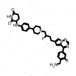 NCc1ccc(-c2ncnn3cc(CCC(F)CN4CCC(c5ccc(NC6CCC(=O)NC6=O)cc5)CC4)cc23)cc1F